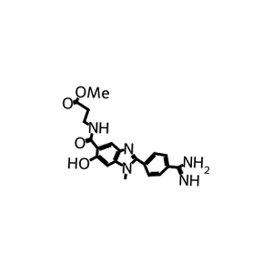 COC(=O)CCNC(=O)c1cc2nc(-c3ccc(C(=N)N)cc3)n(C)c2cc1O